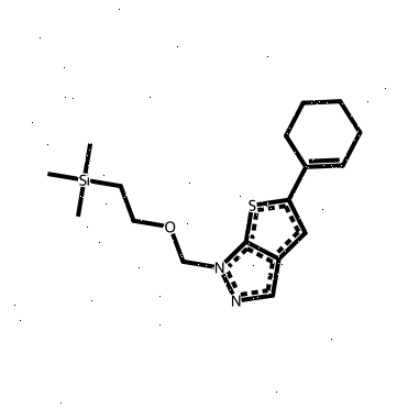 C[Si](C)(C)CCOCn1ncc2cc(C3=CCCCC3)sc21